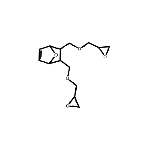 C1=CC2OC1C(COCC1CO1)C2COCC1CO1